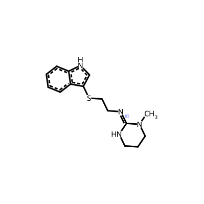 CN1CCCN/C1=N\CCSc1c[nH]c2ccccc12